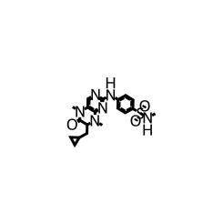 CNS(=O)(=O)c1ccc(Nc2ncc3c(n2)N(C)C(CC2CC2)C(=O)N3C)cc1